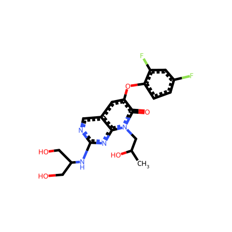 CC(O)Cn1c(=O)c(Oc2ccc(F)cc2F)cc2cnc(NC(CO)CO)nc21